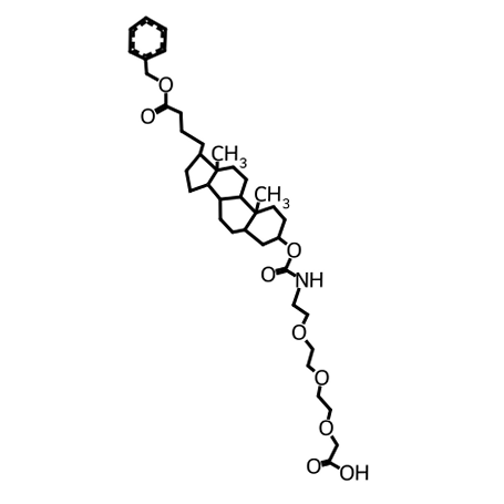 CC12CCC3C(CCC4CC(OC(=O)NCCOCCOCCOCC(=O)O)CCC43C)C1CCC2CCCC(=O)OCc1ccccc1